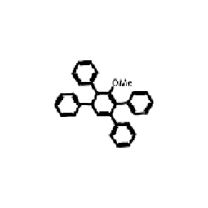 COC1=C(c2ccccc2)C(c2ccccc2)=CC(c2ccccc2)C1c1ccccc1